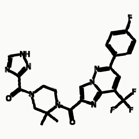 CC1(C)CN(C(=O)c2nc[nH]n2)CCN1C(=O)c1cn2nc(-c3ccc(F)cc3)cc(C(F)(F)F)c2n1